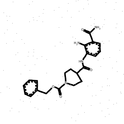 NC(=O)c1cccc(NC(=O)C2CCN(C(=O)OCc3ccccc3)CC2)c1N